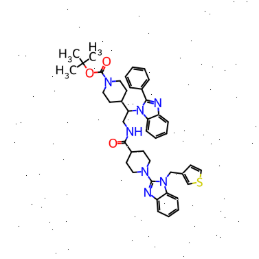 CC(C)(C)OC(=O)N1CCC(C(CNC(=O)C2CCN(c3nc4ccccc4n3Cc3ccsc3)CC2)n2c(-c3ccccc3)nc3ccccc32)CC1